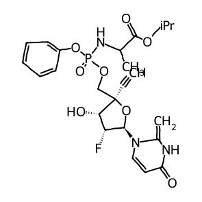 C#C[C@]1(COP(=O)(NC(C)C(=O)OC(C)C)Oc2ccccc2)O[C@@H](N2C=CC(=O)NC2=C)[C@H](F)[C@@H]1O